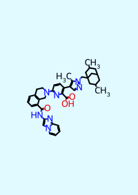 Cc1c(-c2ccc(N3CCc4cccc(C(=O)Nc5cn6ccccc6n5)c4C3)nc2C(=O)O)cnn1CC12CC(C)CC(CC(C)C1)C2